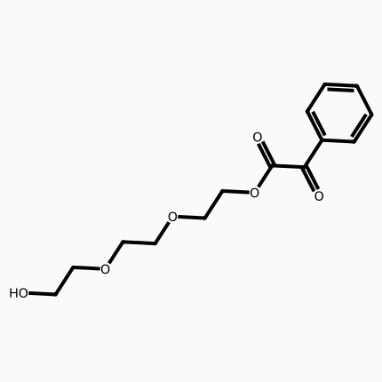 O=C(OCCOCCOCCO)C(=O)c1ccccc1